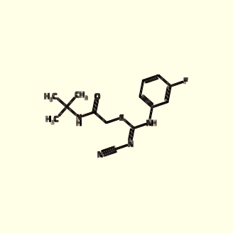 CC(C)(C)NC(=O)CS/C(=N\C#N)Nc1cccc(F)c1